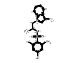 Nc1cc(Cl)cc(Cl)c1S(=O)(=O)NC(Cn1cc(C(F)(F)F)c2ccccc21)C(F)(F)F